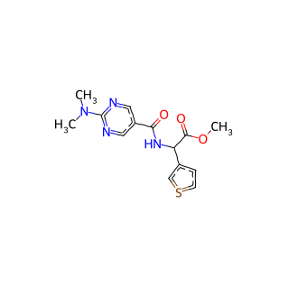 COC(=O)C(NC(=O)c1cnc(N(C)C)nc1)c1ccsc1